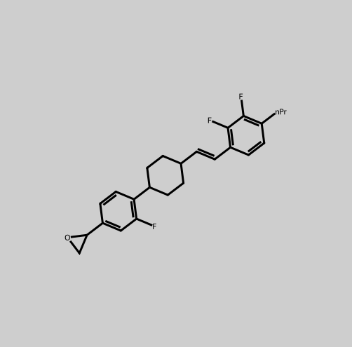 CCCc1ccc(/C=C/C2CCC(c3ccc(C4CO4)cc3F)CC2)c(F)c1F